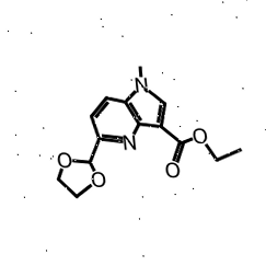 CCOC(=O)c1cn(C)c2ccc(C3OCCO3)nc12